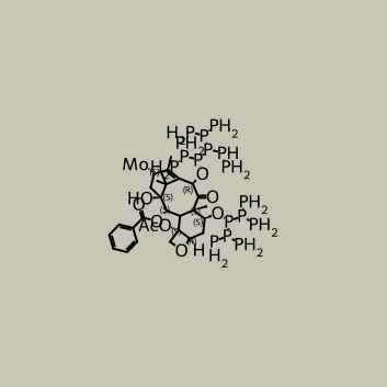 CC(=O)O[C@@]12CO[C@@H]1C[C@H](OP(P(P)P)P(P)P)[C@@]1(C)C(=O)[C@H](OP(P(P)P)P(PP)P(P)P)C3=C(C)[C@@H]([Mo])C[C@@](O)([C@@H](OC(=O)c4ccccc4)C12)C3(C)C